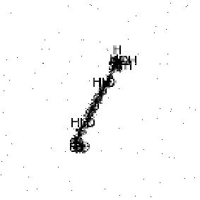 O=C(CCCC[C@@H]1SC[C@@H]2NC(O)N[C@@H]21)NCCOCCOCCOCCOCCC(=O)NCCSSCCC(=O)ON1C(=O)CCC1=O